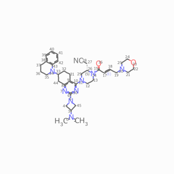 CN(C)C1CN(c2nc3c(c(N4CCN(C(=O)/C=C/CN5CCOCC5)[C@@H](CC#N)C4)n2)CCC(N2CCCc4ccccc42)C3)C1